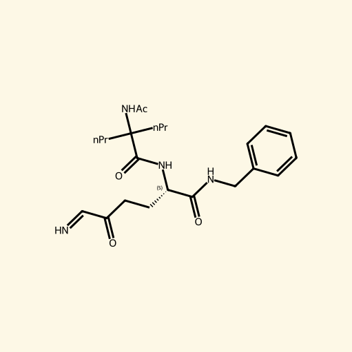 CCCC(CCC)(NC(C)=O)C(=O)N[C@@H](CCC(=O)C=N)C(=O)NCc1ccccc1